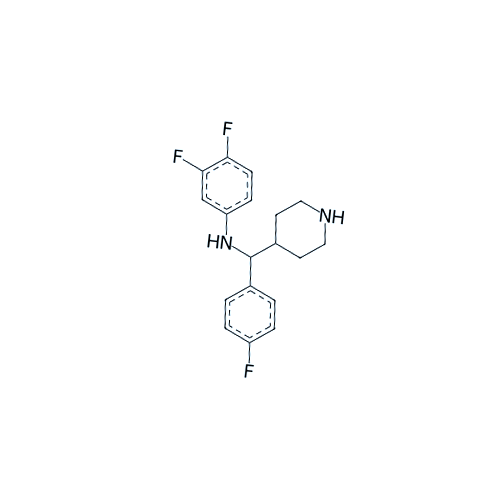 Fc1ccc(C(Nc2ccc(F)c(F)c2)C2CCNCC2)cc1